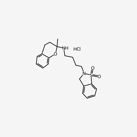 CC1(NCCCCN2Cc3ccccc3S2(=O)=O)CCc2ccccc2O1.Cl